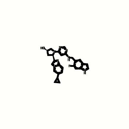 O[C@H]1C[C@H](c2cn3cc(C4CC4)ccc3n2)N(c2cc(NCc3cc4cc[nH]c4cc3F)ncn2)C1